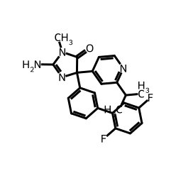 CC(C)c1cc(C2(c3cccc(-c4cc(F)ccc4F)c3)N=C(N)N(C)C2=O)ccn1